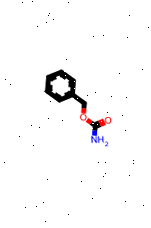 NC(=O)OCc1c[c]ccc1